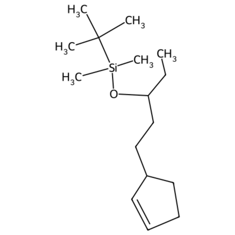 CCC(CCC1C=CCC1)O[Si](C)(C)C(C)(C)C